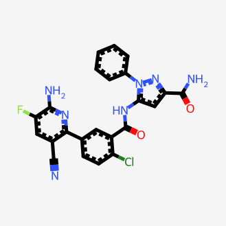 N#Cc1cc(F)c(N)nc1-c1ccc(Cl)c(C(=O)Nc2cc(C(N)=O)nn2-c2ccccc2)c1